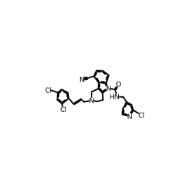 N#Cc1cccc2c1c1c(n2C(=O)NCc2ccnc(Cl)c2)CCN(CC=Cc2ccc(Cl)cc2Cl)C1